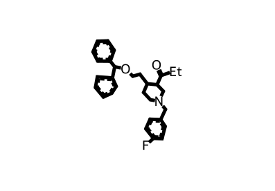 CCC(=O)C1CN(Cc2ccc(F)cc2)CCC1CCOC(c1ccccc1)c1ccccc1